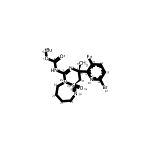 CC(C)(C)OC(=O)NC1=N[C@](C)(c2nc(Br)ccc2F)C[S@@]2(=O)=NCCCCN12